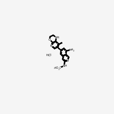 Cc1c(-c2cc(N)c3cnc(NC(=O)O)cc3c2)cnc2c1NCCO2.Cl